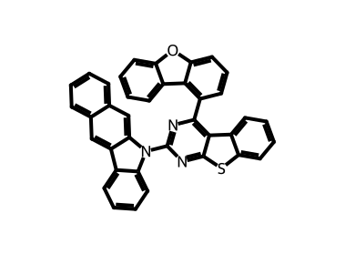 c1ccc2cc3c(cc2c1)c1ccccc1n3-c1nc(-c2cccc3oc4ccccc4c23)c2c(n1)sc1ccccc12